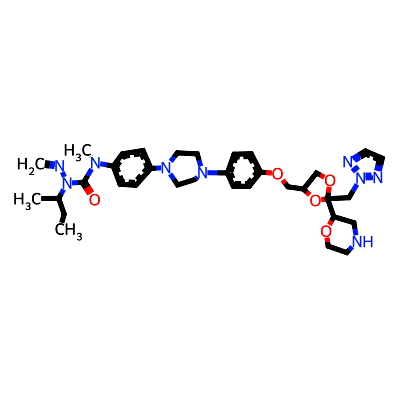 C=NN(C(=O)N(C)c1ccc(N2CCN(c3ccc(OCC4COC(Cn5nccn5)(C5CNCCO5)O4)cc3)CC2)cc1)C(C)CC